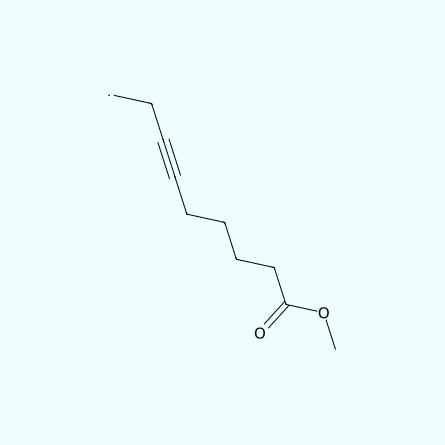 [CH2]CC#CCCCCC(=O)OC